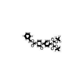 CC(C)(C)OC(=O)N(C(=O)OC(C)(C)C)c1ccc(N2CCN(C(=O)OCc3ccccc3)CC2=O)cn1